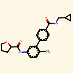 Cc1ccc(NC(=O)C2CCCO2)cc1-c1ccc(C(=O)NCC2CC2)cc1